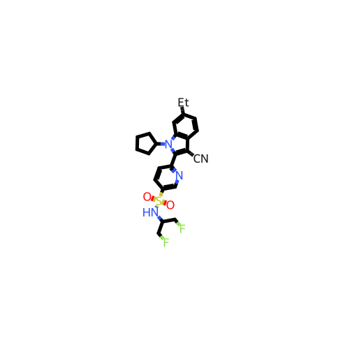 CCc1ccc2c(C#N)c(-c3ccc(S(=O)(=O)NC(CF)CF)cn3)n(C3CCCC3)c2c1